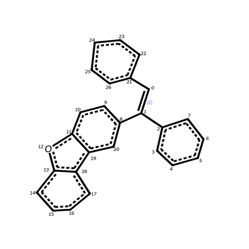 C(=C(\c1ccccc1)c1ccc2oc3ccccc3c2c1)/c1ccccc1